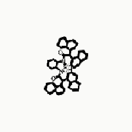 O=C(C(c1cccc2ccccc12)c1cccc2ccccc12)N(O)C1CCCCC1N(O)C(=O)C(c1cccc2ccccc12)c1cccc2ccccc12